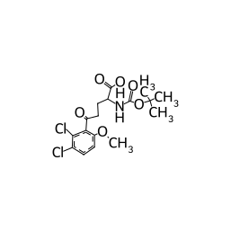 COc1ccc(Cl)c(Cl)c1C(=O)CCC(NC(=O)OC(C)(C)C)C(=O)O